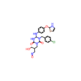 O=NCC(CO)CN1C(=O)NC(Nc2ccc(OC3NC=CS3)cc2)N(Cc2ccc(Cl)cc2)C1=O